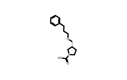 O=C(O)N1CC[C@@H](COCCCc2ccccc2)C1